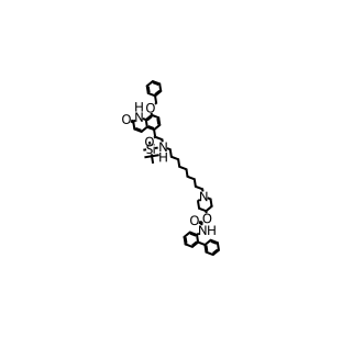 CC(C)(C)[Si](C)(C)OC(CNCCCCCCCCCN1CCC(OC(=O)Nc2ccccc2-c2ccccc2)CC1)c1ccc(OCc2ccccc2)c2[nH]c(=O)ccc12